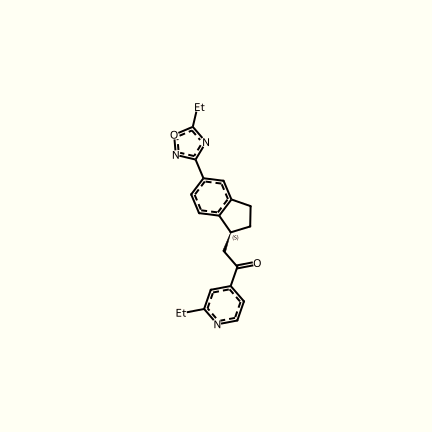 CCc1cc(C(=O)C[C@@H]2CCc3cc(-c4noc(CC)n4)ccc32)ccn1